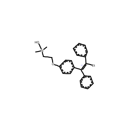 CC/C(=C(\c1ccccc1)c1ccc(OCC[Si](C)(C)O)cc1)c1ccccc1